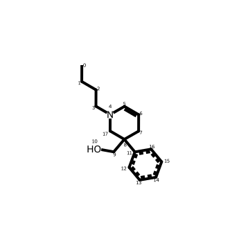 CCCCN1C=CCC(CO)(c2ccccc2)C1